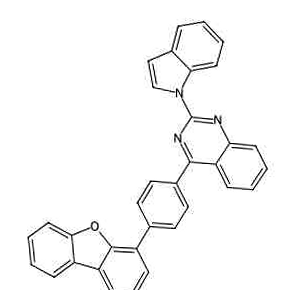 c1ccc2c(c1)ccn2-c1nc(-c2ccc(-c3cccc4c3oc3ccccc34)cc2)c2ccccc2n1